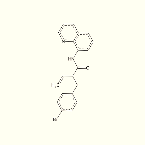 C=CC(Cc1ccc(Br)cc1)C(=O)Nc1cccc2cccnc12